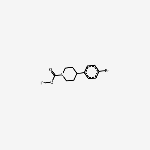 CC(C)OC(=O)N1CCC(c2ccc(Br)cc2)CC1